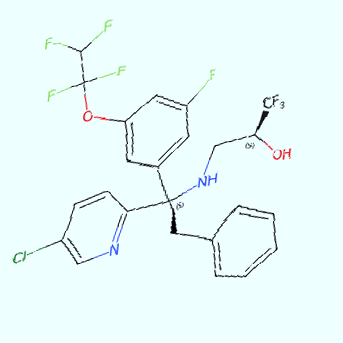 O[C@@H](CN[C@@](Cc1ccccc1)(c1cc(F)cc(OC(F)(F)C(F)F)c1)c1ccc(Cl)cn1)C(F)(F)F